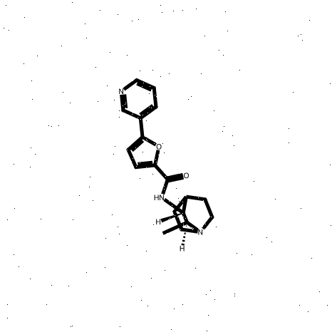 C[C@H]1[C@H](NC(=O)c2ccc(-c3cccnc3)o2)C2CCN1CC2